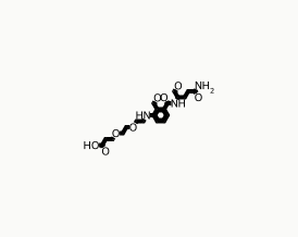 NC(=O)CCC(C=O)NC(=O)c1cccc(NCCOCCOCCC(=O)O)c1C=O